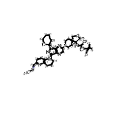 C[C@@H]1OCC2(CCN(c3cnc4c(N5CCCc6nc(/C=N/O)ccc65)nn(C5CCCCO5)c4n3)CC2)[C@@H]1NC(=O)OC(C)(C)C